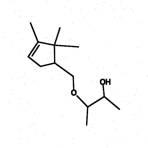 CC1=CCC(COC(C)C(C)O)C1(C)C